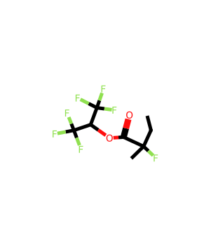 CCC(C)(F)C(=O)OC(C(F)(F)F)C(F)(F)F